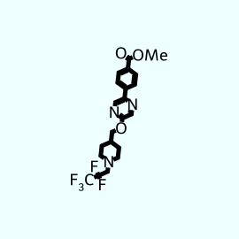 COC(=O)c1ccc(-c2cnc(OCC3CCN(CC(F)(F)C(F)(F)F)CC3)cn2)cc1